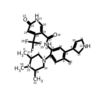 CC1CN(c2cc(F)c(C3=CCNC3)cc2NC(=O)c2c[nH]c(=O)cc2C(F)(F)F)CC(C)N1C